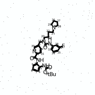 CC(C)(C)OC(=O)Nc1ccccc1NC(=O)c1ccc(CN(CCCCN2CCCC2)C(=O)Nc2cccc(F)c2)cn1